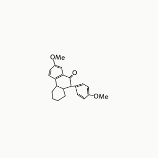 COc1ccc(C2C(=O)c3cc(OC)ccc3C3CCCCC32)cc1